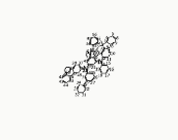 CC1(C)c2ccccc2-c2ccc(N(c3ccccc3)c3cc(N(c4cccc(-c5ccccc5)c4)c4ccc5oc6ccccc6c5c4)cc4nc(-c5ccccc5)oc34)cc21